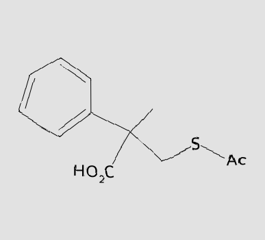 CC(=O)SCC(C)(C(=O)O)c1ccccc1